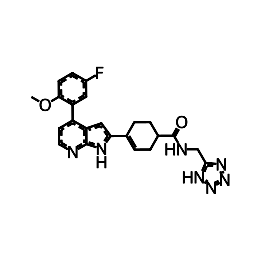 COc1ccc(F)cc1-c1ccnc2[nH]c(C3=CCC(C(=O)NCc4nnn[nH]4)CC3)cc12